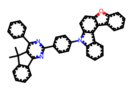 CC1(C)c2ccccc2-c2nc(-c3ccc(-n4c5ccccc5c5c6c(ccc54)oc4ccccc46)cc3)nc(-c3ccccc3)c21